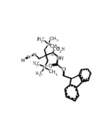 C[N+](C)(C)CC(CN=[N+]=[N-])(C[N+](C)(C)C)[C@H](NC(=O)OCC1c2ccccc2-c2ccccc21)C(=O)O